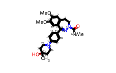 CNC(=O)N1CCc2cc(OC)c(OC)cc2C(c2ccc(N3CCC(C)(O)CC3)cc2)=N1